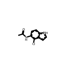 CC(=O)Nc1ccc2[nH]c[c]c2c1Cl